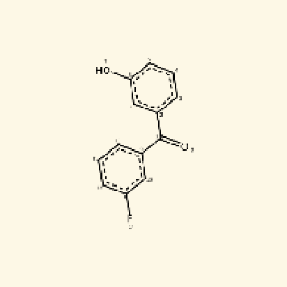 O=C(c1cccc(O)c1)c1cccc(F)c1